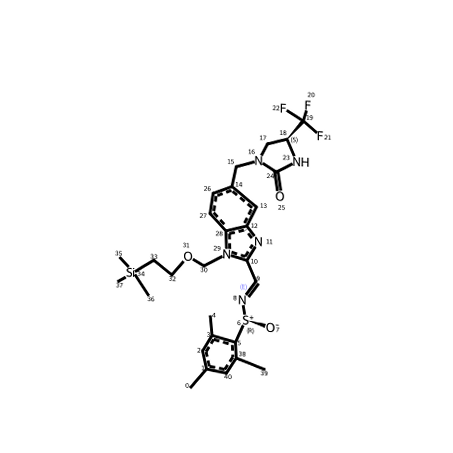 Cc1cc(C)c([S@+]([O-])/N=C/c2nc3cc(CN4C[C@@H](C(F)(F)F)NC4=O)ccc3n2COCC[Si](C)(C)C)c(C)c1